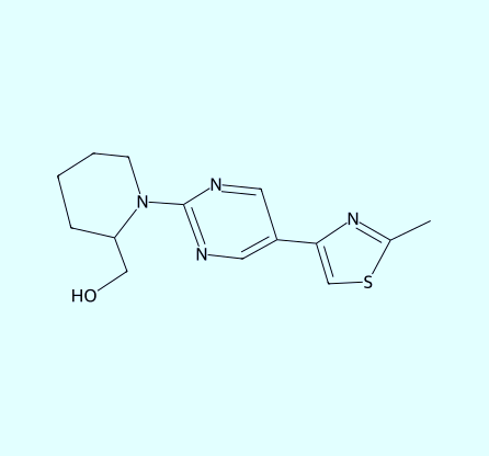 Cc1nc(-c2cnc(N3CCCCC3CO)nc2)cs1